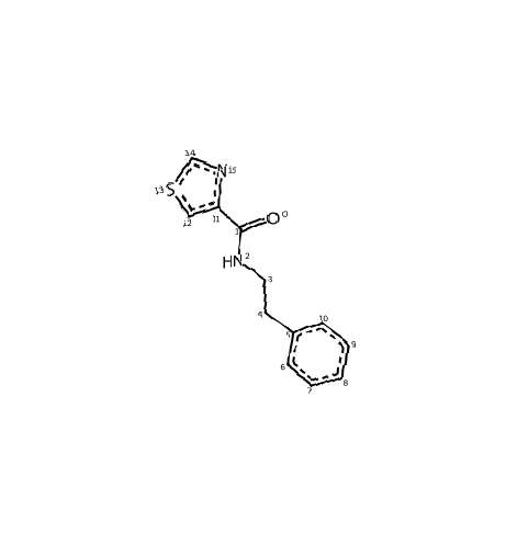 O=C(NCCc1ccccc1)c1cscn1